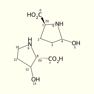 O=C(O)[C@@H]1CCC(O)N1.O=C(O)[C@H]1NCCC1O